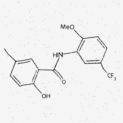 COc1ccc(C(F)(F)F)cc1NC(=O)c1cc(C)ccc1O